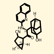 N#CC1C[C@@H]2C[C@@H]2C1C(=O)[C@@H](Nc1ccc2ccccc2n1)C12CC3C[C@@H](CC(O)(C3)C1)C2